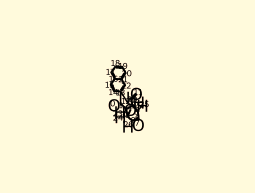 O=C1[C@@H]2[C@@H]3O[C@@H](C4O[C@H]43)[C@@H]2C(=O)N1c1ccc2ccccc2c1